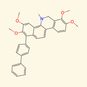 COc1ccc2c(c1OC)CN(C)c1c-2ccc2c(-c3ccc(-c4ccccc4)cc3)c(OC)c(OC)cc12